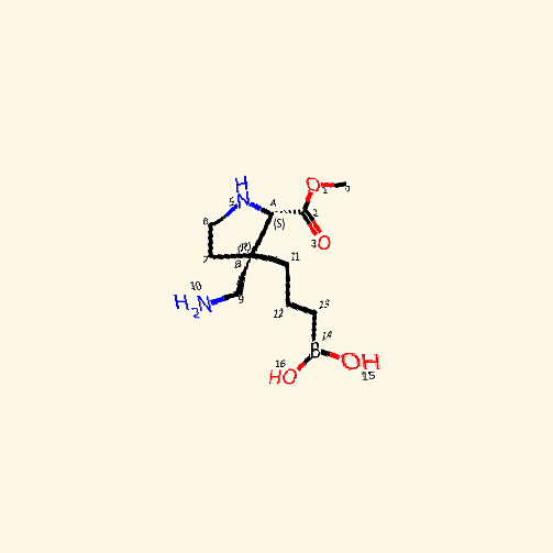 COC(=O)[C@H]1NCC[C@@]1(CN)CCCB(O)O